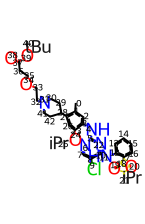 Cc1cc(Nc2ncc(Cl)c(Nc3ccccc3S(=O)(=O)C(C)C)n2)c(OC(C)C)cc1C1CCN(CCOCCC(=O)OC(C)(C)C)CC1